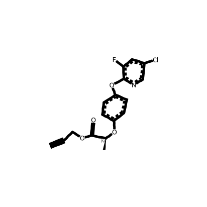 C#CCOC(=O)[C@H](C)Oc1ccc(Oc2ncc(Cl)cc2F)cc1